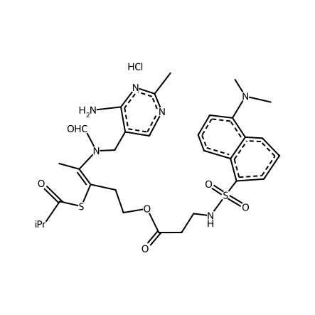 CC(=C(CCOC(=O)CCNS(=O)(=O)c1cccc2c(N(C)C)cccc12)SC(=O)C(C)C)N(C=O)Cc1cnc(C)nc1N.Cl